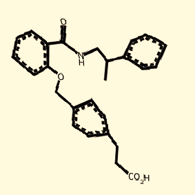 CC(CNC(=O)c1ccccc1OCc1ccc(CCC(=O)O)cc1)c1ccccc1